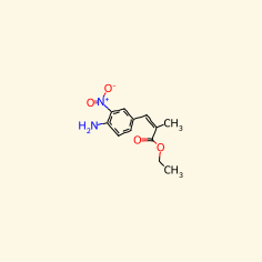 CCOC(=O)C(C)=Cc1ccc(N)c([N+](=O)[O-])c1